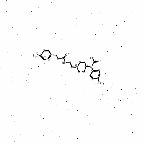 CCC(=O)N(c1ccc(C)cc1)C1CCN(CCNC(=O)CCc2ccc(C)cc2)CC1